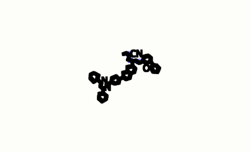 C\C=C(C#N)/C=C(\C=C\c1cccc2c1oc1ccccc12)c1ccc2ccc(-c3ccc(-c4nc(C5=CCCC=C5)cc(-c5ccccc5)n4)cc3)cc2c1